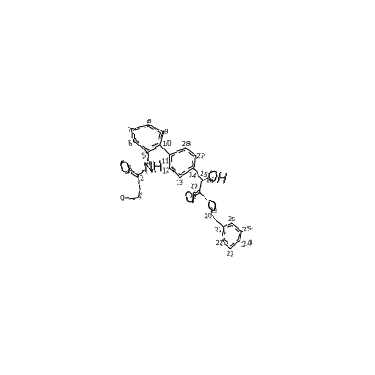 CCC(=O)Nc1ccccc1-c1ccc(C(O)C(=O)OCc2ccccc2)cc1